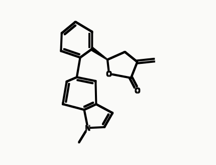 C=C1C[C@H](c2ccccc2-c2ccc3c(ccn3C)c2)OC1=O